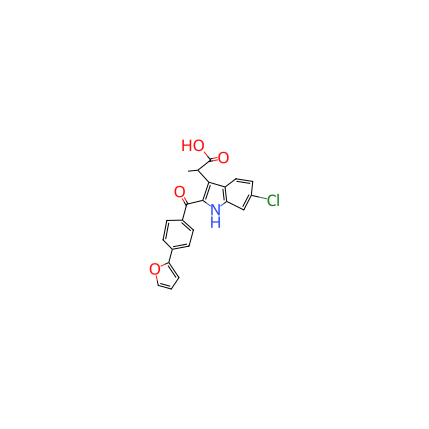 CC(C(=O)O)c1c(C(=O)c2ccc(-c3ccco3)cc2)[nH]c2cc(Cl)ccc12